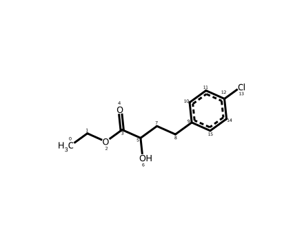 CCOC(=O)C(O)CCc1ccc(Cl)cc1